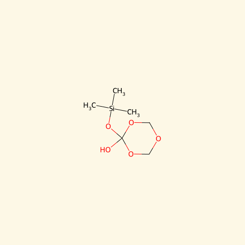 C[Si](C)(C)OC1(O)OCOCO1